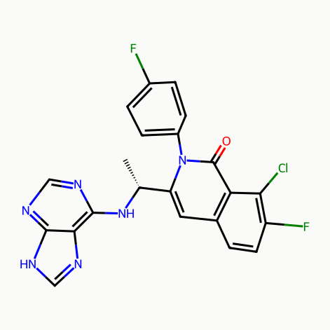 C[C@@H](Nc1ncnc2[nH]cnc12)c1cc2ccc(F)c(Cl)c2c(=O)n1-c1ccc(F)cc1